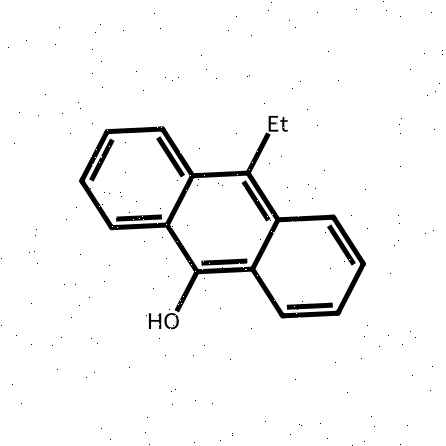 CCc1c2ccccc2c(O)c2ccccc12